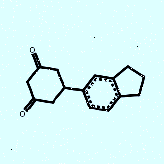 O=C1CC(=O)CC(c2ccc3c(c2)CCC3)C1